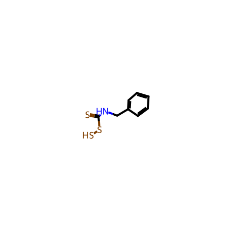 S=C(NCc1ccccc1)SS